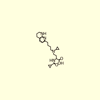 O=C(NC(CCN(CCCCc1ccc2c(n1)NCCC2)C1CC1)C(=O)O)C1CC1